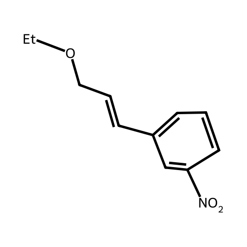 CCOCC=Cc1cccc([N+](=O)[O-])c1